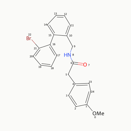 COc1ccc(CC(=O)NCc2ccccc2-c2ccccc2Br)cc1